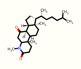 CC(C)CCC[C@@H](C)[C@H]1CC[C@H]2[C@@H]3C(=O)CC4N(C)C(=O)CC[C@]4(C)[C@H]3CC[C@]12C